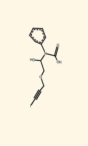 O=C(O)N(c1ccccc1)C(O)COCC#CI